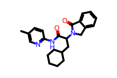 Cc1ccc(NC(=O)C(CC2CCCCC2)N2Cc3ccccc3C2=O)nc1